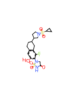 O=C1CN(c2c(O)cc3c(c2F)CC(C2CCN(S(=O)(=O)C4CC4)C2)CC3)S(=O)(=O)N1